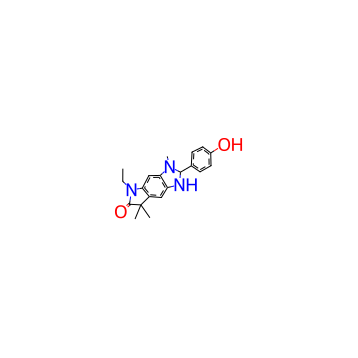 CCN1C(=O)C(C)(C)c2cc3c(cc21)N(C)C(c1ccc(O)cc1)N3